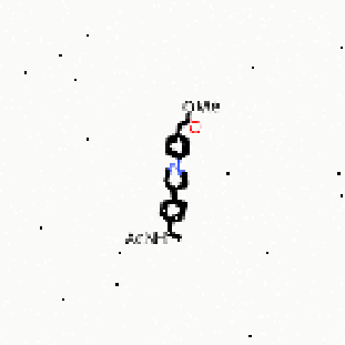 COC(=O)Cc1ccc(N2CCC(c3ccc(C(C)NC(C)=O)cc3)CC2)cc1